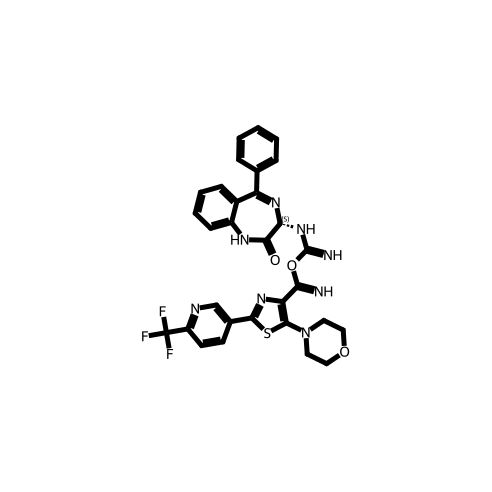 N=C(N[C@H]1N=C(c2ccccc2)c2ccccc2NC1=O)OC(=N)c1nc(-c2ccc(C(F)(F)F)nc2)sc1N1CCOCC1